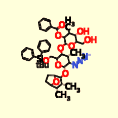 C[C@@H]1C(OC(=O)c2ccccc2)[C@H](O[C@@H]2C(CO[Si](c3ccccc3)(c3ccccc3)C(C)(C)C)O[C@@H](OC3C4CCC(O4)[C@@H](C)[C@H]3C)C(N=[N+]=[N-])[C@H]2C)OC(CO)[C@H]1O